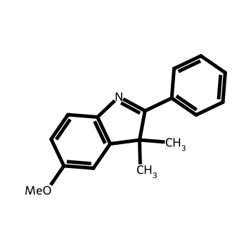 COc1ccc2c(c1)C(C)(C)C(c1ccccc1)=N2